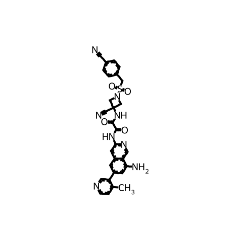 Cc1ccncc1-c1cc(N)c2cnc(NC(=O)C(=O)NC3(C#N)CN(S(=O)(=O)Cc4ccc(C#N)cc4)C3)cc2c1